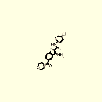 Nc1c(C(=O)Nc2ccc(Cl)cn2)oc2ccc(C(=O)N3CCOCC3)cc12